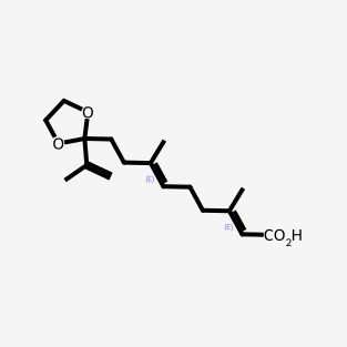 C=C(C)C1(CC/C(C)=C/CC/C(C)=C/C(=O)O)OCCO1